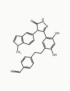 Cn1ccc2cc(-n3c(-c4cc(CCc5ccc(C=N)cc5)c(O)cc4O)n[nH]c3=O)ccc21